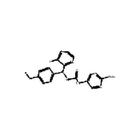 COc1ncc(NC(=O)N[C@@H](c2ccc(CF)cc2)c2ncccc2F)cn1